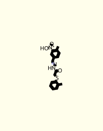 Cc1ccccc1SCC(=O)N/N=C/c1ccc(C)c([N+](=O)O)c1